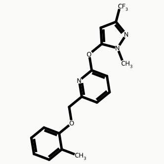 Cc1ccccc1OCc1cccc(Oc2cc(C(F)(F)F)nn2C)n1